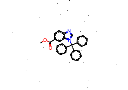 COC(=O)c1ccc2ncn(C(c3ccccc3)(c3ccccc3)c3ccccc3)c2c1